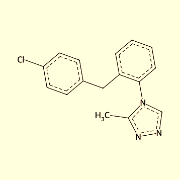 Cc1nncn1-c1ccccc1Cc1ccc(Cl)cc1